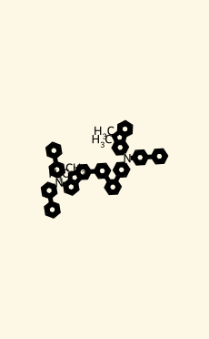 CC1(C)c2ccccc2-c2cc(N(c3ccc(-c4ccccc4)cc3)c3ccc(-c4ccccc4-c4cccc(-c5ccc6c(c5)-c5cccc(N(c7ccc(-c8ccccc8)cc7)c7cccc(-c8ccccc8)c7)c5C6(C)C)c4)cc3)ccc21